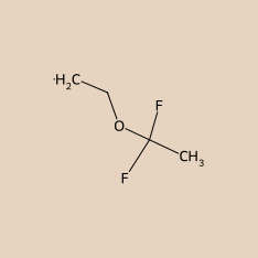 [CH2]COC(C)(F)F